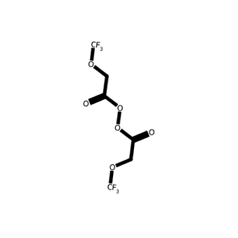 O=C(COC(F)(F)F)OOC(=O)COC(F)(F)F